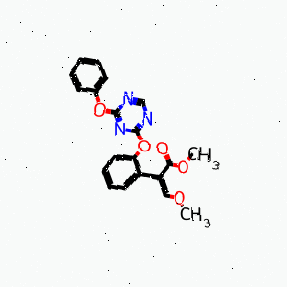 COC=C(C(=O)OC)c1ccccc1Oc1ncnc(Oc2ccccc2)n1